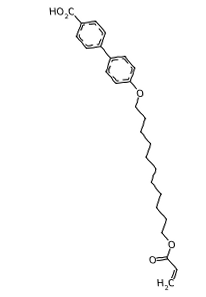 C=CC(=O)OCCCCCCCCCCCOc1ccc(-c2ccc(C(=O)O)cc2)cc1